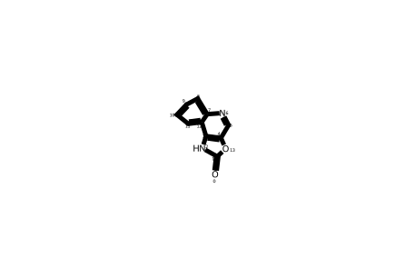 O=c1[nH]c2c(cnc3ccccc32)o1